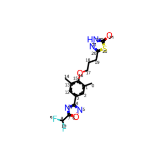 Cc1cc(-c2noc(C(F)F)n2)cc(C)c1OCCCc1n[nH]c(=O)s1